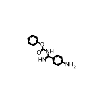 N=C(NC(=O)Oc1ccccc1)c1ccc(N)cc1